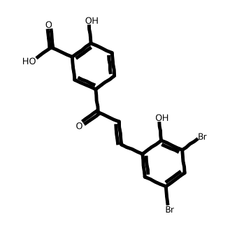 O=C(/C=C/c1cc(Br)cc(Br)c1O)c1ccc(O)c(C(=O)O)c1